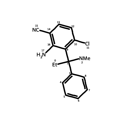 CCC(NC)(c1ccccc1)c1c(Cl)ccc(C#N)c1N